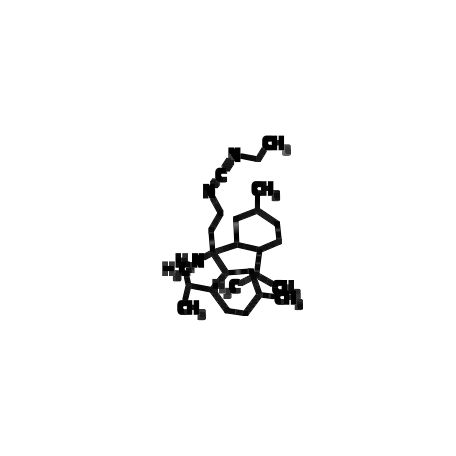 CCN=C=NCCC(N)(C1CC(C)CCC1C(C)C)C1CC(C)CCC1C(C)C